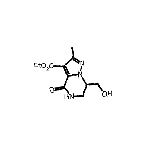 CCOC(=O)c1c(C)nn2c1C(=O)NCC2CO